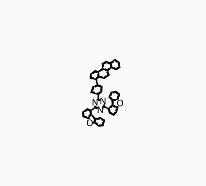 c1ccc2c(c1)ccc1c3cccc(-c4ccc(-c5nc(-c6cccc7oc8ccccc8c67)nc(-c6cccc7oc8ccccc8c67)n5)cc4)c3ccc21